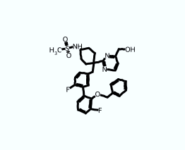 CS(=O)(=O)NC1CCC(Cc2ccc(F)c(-c3cccc(F)c3OCc3ccccc3)c2)(c2nccc(CO)n2)CC1